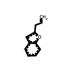 C=CCc1cc2[c]cccc2o1